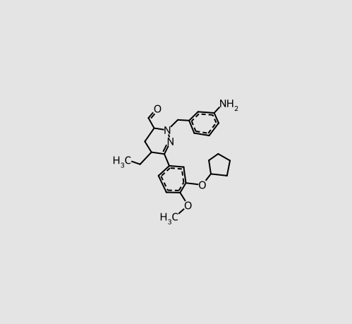 CCC1CC(C=O)N(Cc2cccc(N)c2)N=C1c1ccc(OC)c(OC2CCCC2)c1